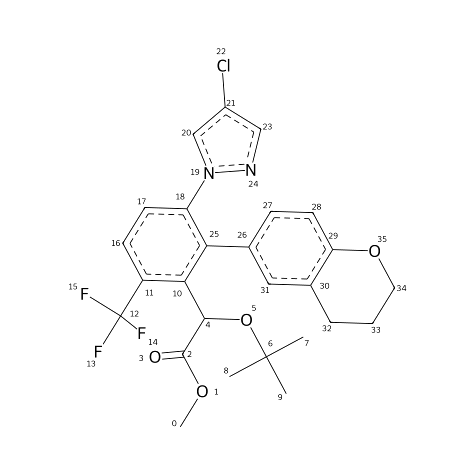 COC(=O)C(OC(C)(C)C)c1c(C(F)(F)F)ccc(-n2cc(Cl)cn2)c1-c1ccc2c(c1)CCCO2